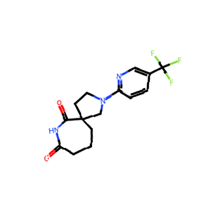 O=C1CCCC2(CCN(c3ccc(C(F)(F)F)cn3)C2)C(=O)N1